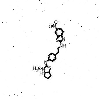 CN1/C(=N/c2ccc(CCNc3nc4ccc([N+](=O)[O-])cc4s3)cc2)SC2CCC[C@H]21